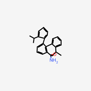 CC(C)c1ccccc1-c1cccc(C(N)=O)c1-c1ccccc1C(C)C